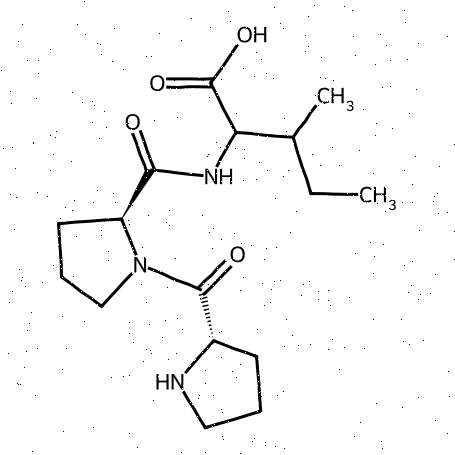 CCC(C)C(NC(=O)[C@@H]1CCCN1C(=O)[C@@H]1CCCN1)C(=O)O